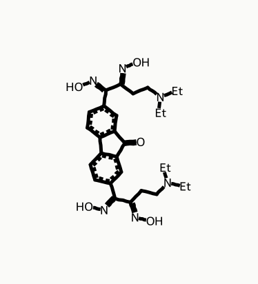 CCN(CC)CCC(=N\O)/C(=N/O)c1ccc2c(c1)C(=O)c1cc(C(=N\O)/C(CCN(CC)CC)=N/O)ccc1-2